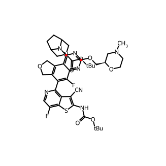 CN1CCO[C@@H](COc2nc(N3C4CCC3CN(C(=O)OC(C)(C)C)C4)c3c4c(c(-c5ncc(F)c6sc(NC(=O)OC(C)(C)C)c(C#N)c56)c(F)c3n2)COC4)C1